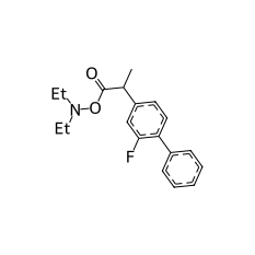 CCN(CC)OC(=O)C(C)c1ccc(-c2ccccc2)c(F)c1